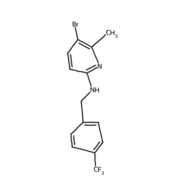 Cc1nc(NCc2ccc(C(F)(F)F)cc2)ccc1Br